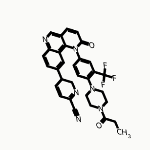 CCC(=O)N1CCN(c2ccc(-n3c(=O)ccc4cnc5ccc(C6C=CC(C#N)=NC6)cc5c43)cc2C(F)(F)F)CC1